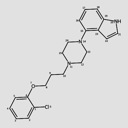 Clc1ccccc1OCCCN1CCN(c2cccc3[nH]ccc23)CC1